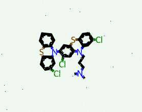 CN(C)CCCN1c2cc(Cl)ccc2Sc2cc(N3c4ccccc4Sc4ccc(Cl)cc43)c(Cl)cc21